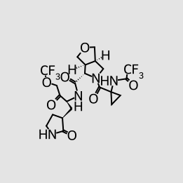 O=C1NCC[C@H]1C[C@H](NC(=O)[C@@H]1[C@H]2COC[C@H]2CN1C(=O)C1(NC(=O)C(F)(F)F)CC1)C(=O)COC(F)(F)F